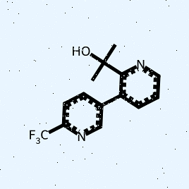 CC(C)(O)c1ncccc1-c1ccc(C(F)(F)F)nc1